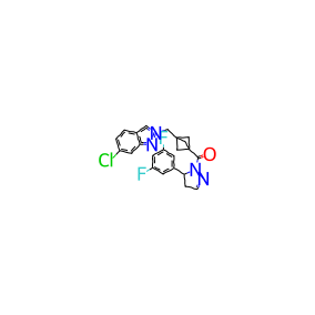 O=C(N1N=CCC1c1cc(F)cc(F)c1)C12CC(Cn3cc4ccc(Cl)cc4n3)(C1)C2